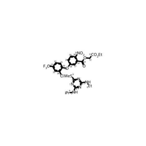 CCNc1nc(NC(C)C)nc(SC)n1.CCOC(=O)COC(=O)c1cc(Oc2ccc(C(F)(F)F)cc2Cl)ccc1[N+](=O)[O-]